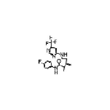 C=C(CCNc1cc(C(F)(F)F)ncn1)C(C)C(=O)Nc1ccc(F)cc1